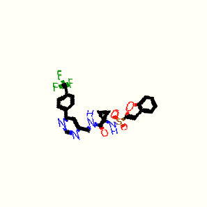 O=C(NCc1cc(-c2ccc(C(F)(F)F)cc2)ncn1)C1(NS(=O)(=O)c2cc3ccccc3o2)CC1